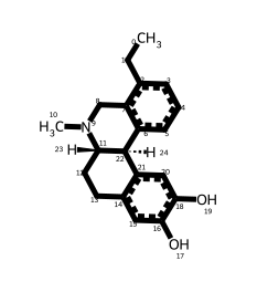 CCc1cccc2c1CN(C)[C@H]1CCc3cc(O)c(O)cc3[C@H]21